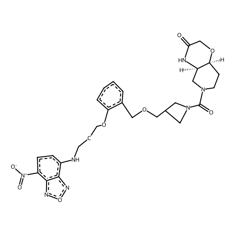 O=C1CO[C@H]2CCN(C(=O)N3CC(COCc4ccccc4OCCCNc4ccc([N+](=O)[O-])c5nonc45)C3)C[C@H]2N1